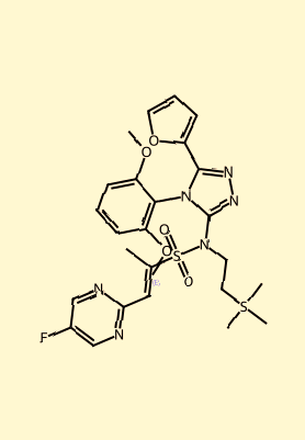 COc1cccc(OC)c1-n1c(-c2ccco2)nnc1N(CCS(C)(C)C)S(=O)(=O)/C(C)=C/c1ncc(F)cn1